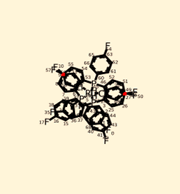 Fc1ccc([PH](c2ccc(F)cc2)(c2ccc(F)cc2)[Ru]([Cl])([Cl])([PH](c2ccc(F)cc2)(c2ccc(F)cc2)c2ccc(F)cc2)[PH](c2ccc(F)cc2)(c2ccc(F)cc2)c2ccc(F)cc2)cc1